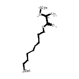 CCCCCCCCCCCCCCCCCCOC(=O)C(C)OS(=O)(=O)O